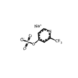 O=S(=O)([O-])Oc1ccnc(C(F)(F)F)c1.[Na+]